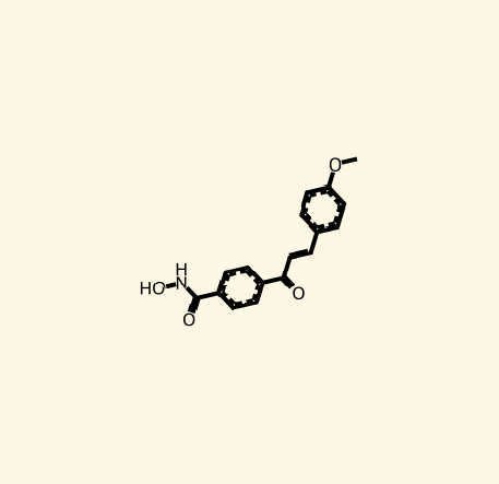 COc1ccc(C=CC(=O)c2ccc(C(=O)NO)cc2)cc1